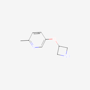 Cc1ccc(OC2CNC2)cn1